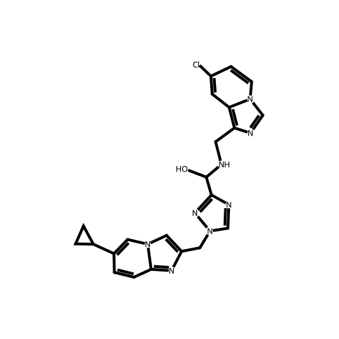 OC(NCc1ncn2ccc(Cl)cc12)c1ncn(Cc2cn3cc(C4CC4)ccc3n2)n1